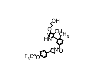 Cc1ccc(C(=O)N2CC(c3ccc(OCC(F)(F)F)cc3)C2)cc1-c1[nH]nc(OCCO)c1C